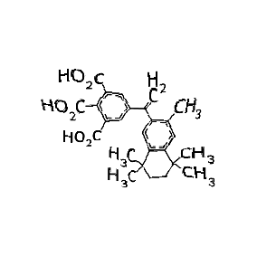 C=C(c1cc(C(=O)O)c(C(=O)O)c(C(=O)O)c1)c1cc2c(cc1C)C(C)(C)CCC2(C)C